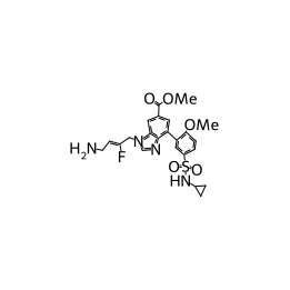 COC(=O)c1cc(-c2cc(S(=O)(=O)NC3CC3)ccc2OC)c2ncn(CC(F)=CCN)c2c1